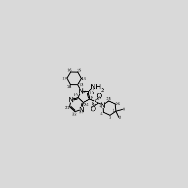 CC1(C)CCN(S(=O)(=O)c2c(N)n(C3CCCCC3)c3nccnc23)CC1